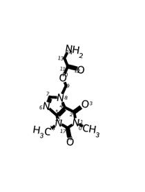 Cn1c(=O)c2c(ncn2COC(=O)CN)n(C)c1=O